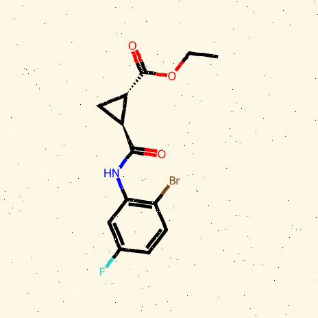 CCOC(=O)[C@H]1C[C@@H]1C(=O)Nc1cc(F)ccc1Br